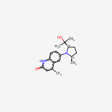 C[C@@H]1CC[C@H](C(C)(C)O)N1c1ccc2[nH]c(=O)cc(C(F)(F)F)c2c1